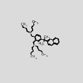 CCCCP(CCCC)Cc1ccc(C(C)(C)c2ccc3ccccc3c2)cc1CP(CCCC)CCCC